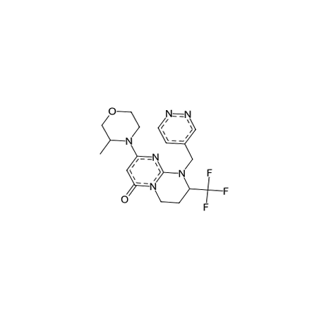 CC1COCCN1c1cc(=O)n2c(n1)N(Cc1ccnnc1)C(C(F)(F)F)CC2